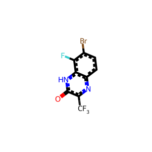 O=c1[nH]c2c(F)c(Br)ccc2nc1C(F)(F)F